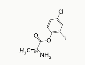 C[C@H](N)C(=O)Oc1ccc(Cl)cc1I